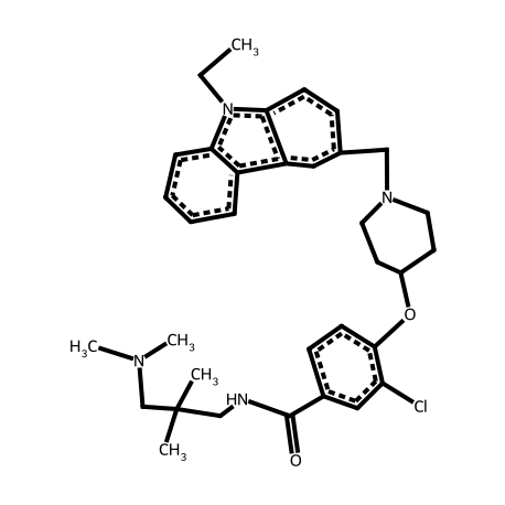 CCn1c2ccccc2c2cc(CN3CCC(Oc4ccc(C(=O)NCC(C)(C)CN(C)C)cc4Cl)CC3)ccc21